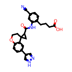 N#Cc1ccc(CCCC(=O)O)c(NC(=O)C2CC23CCOc2ccc(-c4cn[nH]c4)cc23)c1